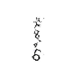 CC/C(=C\c1ccccc1)[C@H]1C[C@@H]1NC1CC2(C1)CN(CC(=O)NS(C)(=O)=O)C2